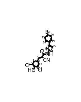 N#C/C(=C\c1cc(Cl)c(O)c(Cl)c1)C(=O)Nc1nc(-c2ccc(Br)cc2)cs1